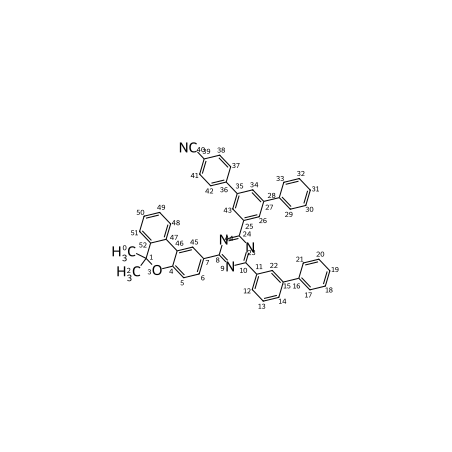 CC1(C)Oc2ccc(-c3nc(-c4cccc(-c5ccccc5)c4)nc(-c4cc(-c5ccccc5)cc(-c5ccc(C#N)cc5)c4)n3)cc2-c2ccccc21